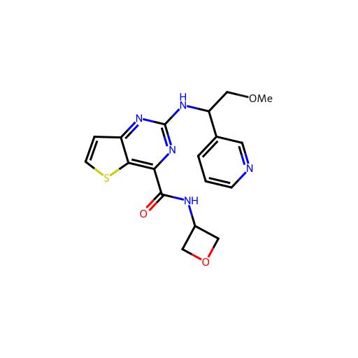 COCC(Nc1nc(C(=O)NC2COC2)c2sccc2n1)c1cccnc1